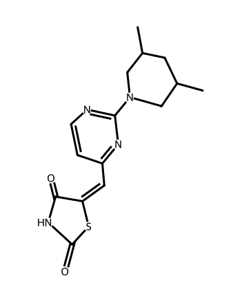 CC1CC(C)CN(c2nccc(/C=C3/SC(=O)NC3=O)n2)C1